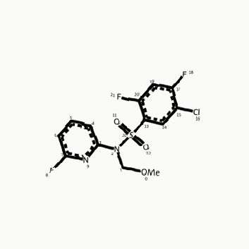 COCN(c1cccc(F)n1)S(=O)(=O)c1cc(Cl)c(F)cc1F